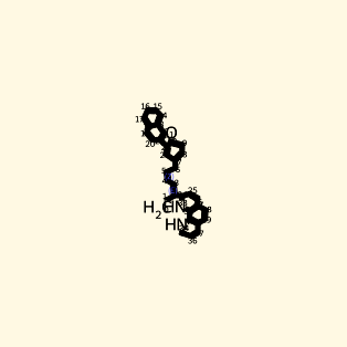 C=C/C(=C\C=C/Cc1ccc2oc3c4ccccc4ccc3c2c1)C1C=Cc2ccc3c(c2N1)NCC=C3